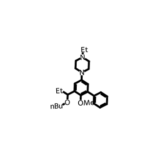 CCCCOC(CC)c1cc(N2CCN(CC)CC2)cc(-c2ccccc2)c1OC